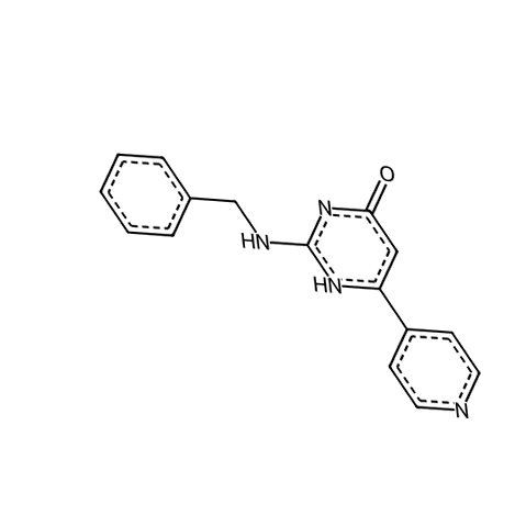 O=c1cc(-c2ccncc2)[nH]c(NCc2ccccc2)n1